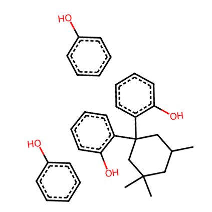 CC1CC(C)(C)CC(c2ccccc2O)(c2ccccc2O)C1.Oc1ccccc1.Oc1ccccc1